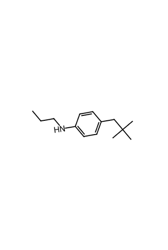 CCCNc1ccc(CC(C)(C)C)cc1